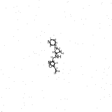 C[C@@H]1CN(c2cccnc2)C[C@H]1NCc1cc(C2CC2)on1